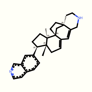 C[C@@]12CC[C@H](c3ccc4ccncc4c3)[C@@]1(C)CC=C1C=C3CNCC[C@]34CC[C@@]12C4